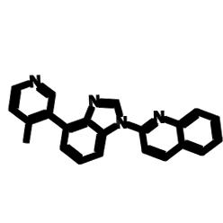 Cc1ccncc1-c1cccc2c1ncn2-c1ccc2ccccc2n1